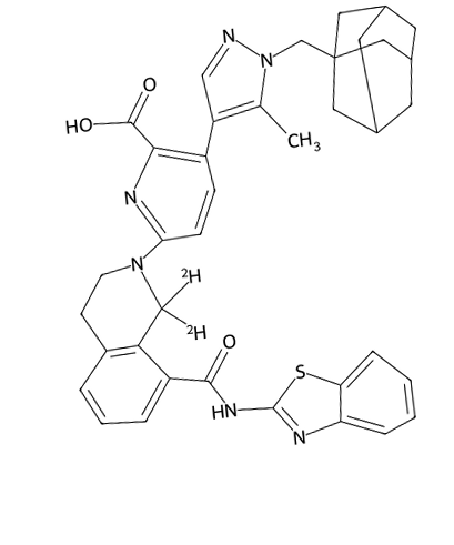 [2H]C1([2H])c2c(cccc2C(=O)Nc2nc3ccccc3s2)CCN1c1ccc(-c2cnn(CC34CC5CC(CC(C5)C3)C4)c2C)c(C(=O)O)n1